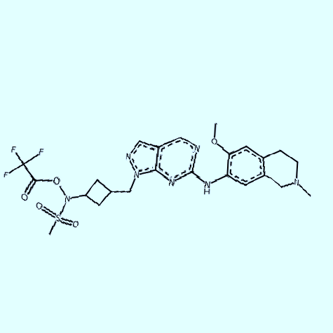 COc1cc2c(cc1Nc1ncc3cnn(CC4CC(N(OC(=O)C(F)(F)F)S(C)(=O)=O)C4)c3n1)CN(C)CC2